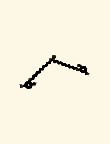 O=[PH](OCCCCCCCCCCCOc1cc(Br)ccc1Br)OCCCCCCCCCCCOc1cc(Br)ccc1Br